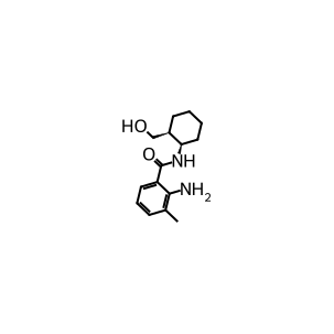 Cc1cccc(C(=O)N[C@@H]2CCCC[C@@H]2CO)c1N